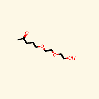 CC(=O)CCCOCCOCCO